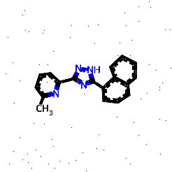 Cc1cccc(-c2n[nH]c(-c3cccc4ccccc34)n2)n1